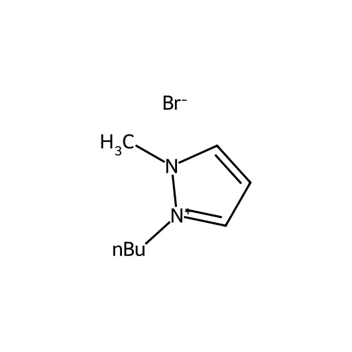 CCCC[n+]1cccn1C.[Br-]